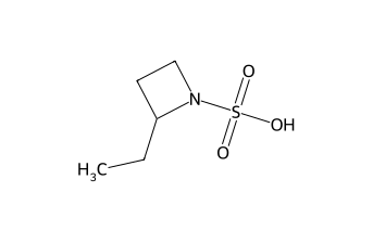 CCC1CCN1S(=O)(=O)O